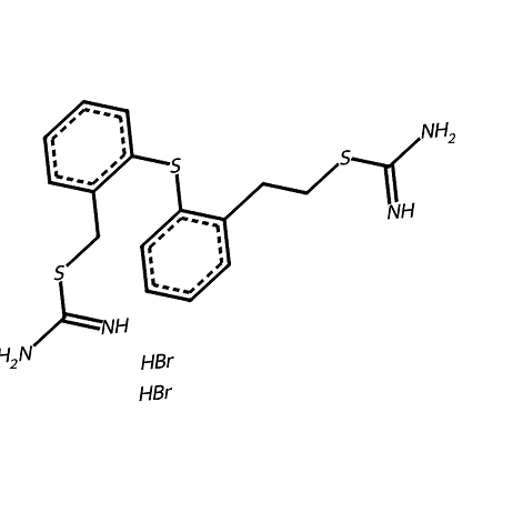 Br.Br.N=C(N)SCCc1ccccc1Sc1ccccc1CSC(=N)N